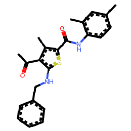 CC(=O)c1c(NCc2ccccc2)sc(C(=O)Nc2ccc(C)cc2C)c1C